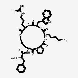 CC(=O)N[C@@H](Cc1ccccc1)C(=O)N[C@H]1CCCNC(=O)C(CCCNC(=N)N)NC(=O)C(Cc2c[nH]c3ccccc23)NC(=O)[C@@H](CCCCN)NC(=O)C2CCCN2C1=O